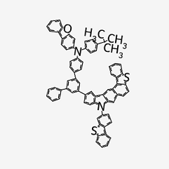 CC(C)(C)c1ccc(N(c2ccc(-c3cc(-c4ccccc4)cc(-c4ccc5c(c4)c4cc6c(ccc7sc8ccccc8c76)cc4n5-c4ccc5c(c4)sc4ccccc45)c3)cc2)c2ccc3c(c2)oc2ccccc23)cc1